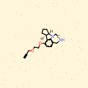 C#CCOCCOc1ccc2c3c1[C@H]1CCC[C@H]1N3CCNC2